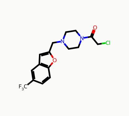 O=C(CCl)N1CCN(Cc2cc3cc(C(F)(F)F)ccc3o2)CC1